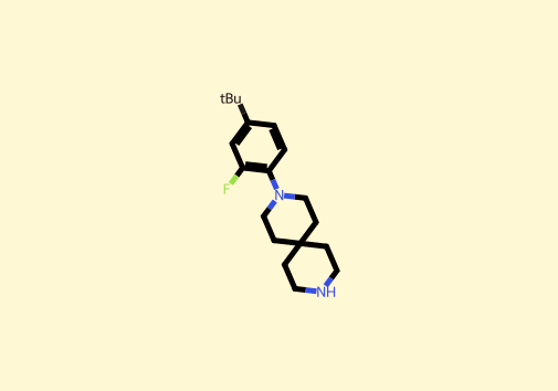 CC(C)(C)c1ccc(N2CCC3(CCNCC3)CC2)c(F)c1